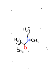 CC=C(C)C(=O)N(C)CCC